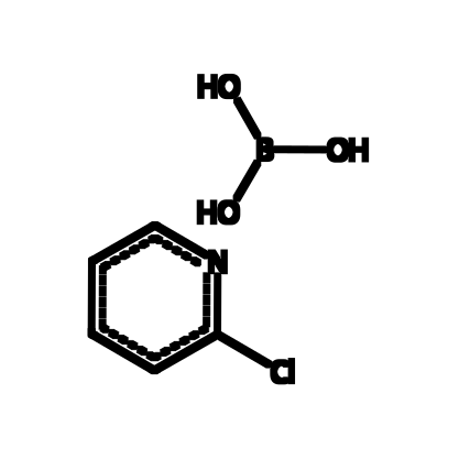 Clc1ccccn1.OB(O)O